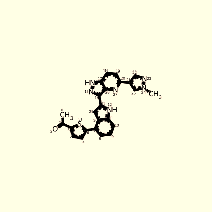 CC(=O)c1ccc(-c2cccc3[nH]c(-c4n[nH]c5ccc(-c6cnn(C)c6)nc45)cc23)s1